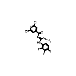 CS/C(=N\C(=O)c1cc(Cl)nc(Cl)c1)Nc1ccc(I)c(F)c1F